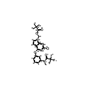 CN(C(=O)C(F)(F)F)c1cccc(Oc2nc(Cl)nc3c2ccn3COC(=O)C(C)(C)C)c1